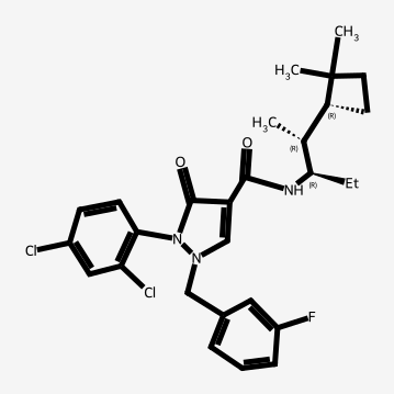 CC[C@@H](NC(=O)c1cn(Cc2cccc(F)c2)n(-c2ccc(Cl)cc2Cl)c1=O)[C@H](C)[C@H]1CCC1(C)C